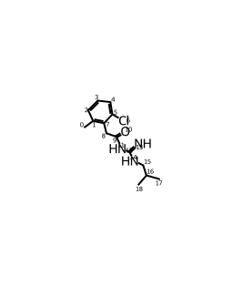 Cc1cccc(Cl)c1CC(=O)NC(=N)NCC(C)C